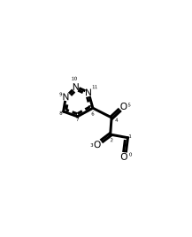 O=CC(=O)C(=O)c1ccnnn1